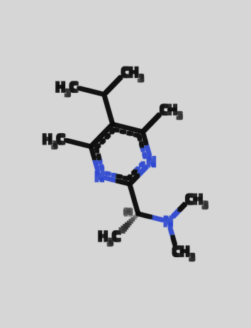 Cc1nc([C@@H](C)N(C)C)nc(C)c1C(C)C